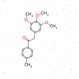 COc1cc(CC(=O)c2ccc(C)cc2)cc(OC)c1OC